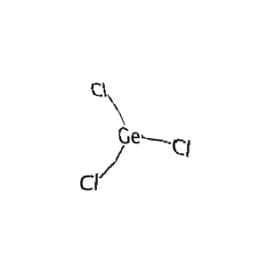 [Cl][Ge]([Cl])[Cl]